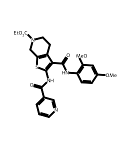 CCOC(=O)N1CCc2c(sc(NC(=O)c3cccnc3)c2C(=O)Nc2ccc(OC)cc2OC)C1